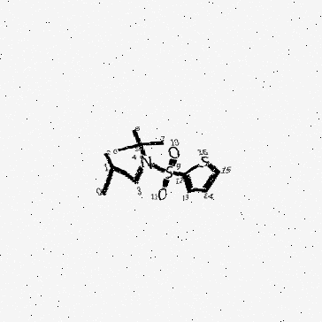 CC(C)CN(C(C)(C)C)S(=O)(=O)c1cccs1